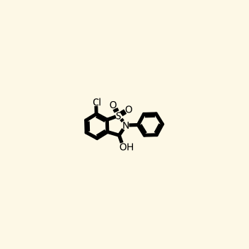 O=S1(=O)c2c(Cl)cccc2C(O)N1c1ccccc1